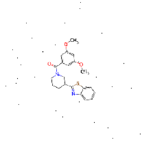 COc1cc(OC)cc(C(=O)N2CCCC(c3nc4ccccc4s3)C2)c1